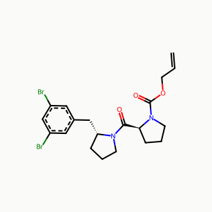 C=CCOC(=O)N1CCC[C@H]1C(=O)N1CCC[C@@H]1Cc1cc(Br)cc(Br)c1